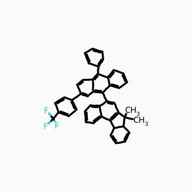 CC1(C)c2cc(-c3c4ccccc4c(-c4ccccc4)c4ccc(-c5ccc(C(F)(F)F)cc5)cc34)c3ccccc3c2C2C=CC=CC21